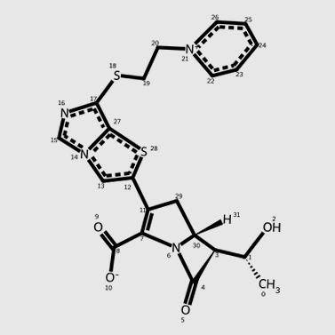 C[C@@H](O)[C@H]1C(=O)N2C(C(=O)[O-])=C(c3cn4cnc(SCC[n+]5ccccc5)c4s3)C[C@H]12